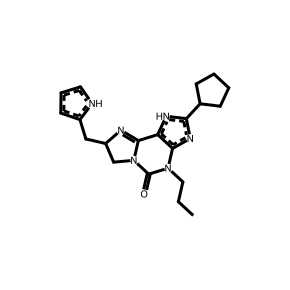 CCCN1C(=O)N2CC(Cc3ccc[nH]3)N=C2c2[nH]c(C3CCCC3)nc21